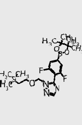 CC1(C)OB(c2cc(F)c(-c3ncnn3COCC[Si](C)(C)C)c(F)c2)OC1(C)C